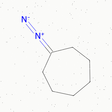 [N-]=[N+]=C1CCCCCC1